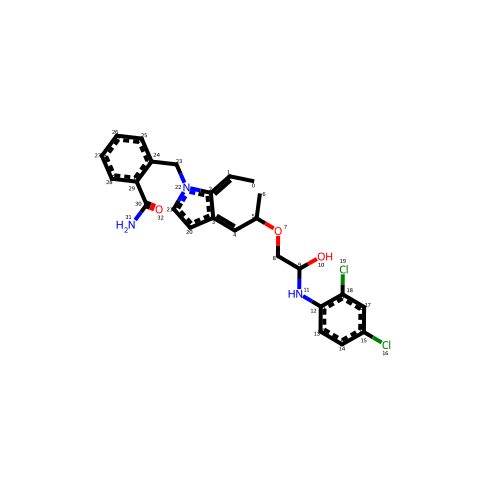 C/C=c1\c(=C/C(C)OCC(O)Nc2ccc(Cl)cc2Cl)ccn1Cc1ccccc1C(N)=O